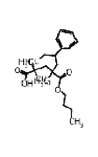 CCCCOC(=O)C(C)(CC(CC)c1ccccc1)CC(C)(C)C(=O)O